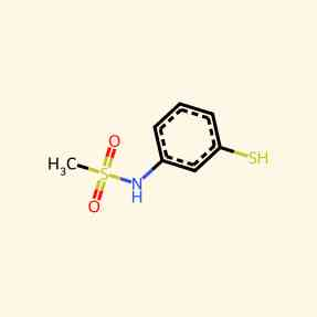 CS(=O)(=O)Nc1cccc(S)c1